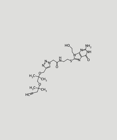 C#CCC(C)(C)OCC(C)(C)OCc1cn(CC(=O)NCCSc2nc3c(=O)[nH]c(N)nc3n2CCO)nn1